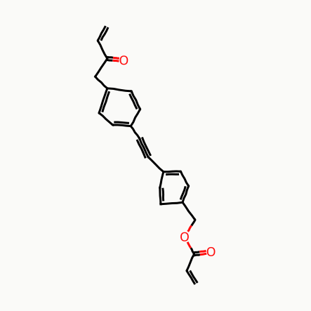 C=CC(=O)Cc1ccc(C#Cc2ccc(COC(=O)C=C)cc2)cc1